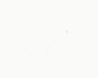 CN1CCC[C@H]1COc1nc2c(c(N3CCNCC3)n1)CCN(c1cc(Oc3ccccc3)cc3ccccc13)C2